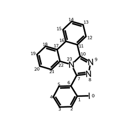 Ic1ccccc1-c1nnc2c3ccccc3c3ccccc3n12